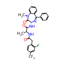 CC(NC(=O)Cc1ccc(C(F)(F)F)cc1F)C(=O)N[C@H]1N=C(c2ccccc2)c2ccccc2N(C)C1=O